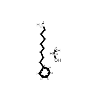 CCCCCCCCCc1ccccc1.OBO